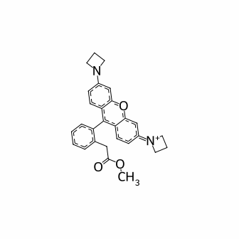 COC(=O)Cc1ccccc1-c1c2ccc(=[N+]3CCC3)cc-2oc2cc(N3CCC3)ccc12